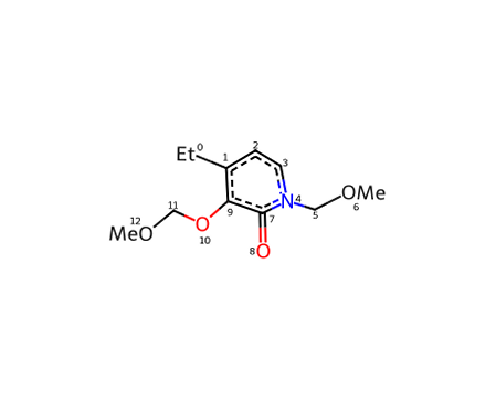 CCc1ccn(COC)c(=O)c1OCOC